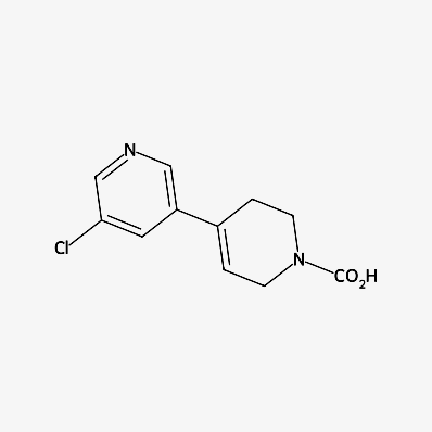 O=C(O)N1CC=C(c2cncc(Cl)c2)CC1